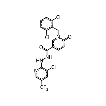 O=C(NNc1ncc(C(F)(F)F)cc1Cl)c1ccc(=O)n(Cc2c(Cl)cccc2Cl)c1